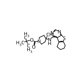 CC1(Nc2ncnc3sc4c(c23)CCCC4)CCN(C(=O)OC(C)(C)C)CC1